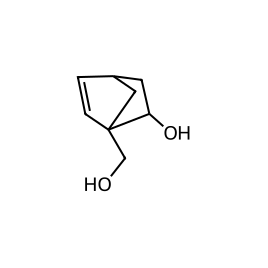 OCC12C=CC(CC1O)C2